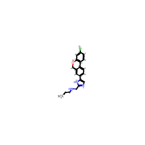 CCCNCc1ncc(-c2ccc3c(c2)COc2cc(Br)ccc2-3)[nH]1